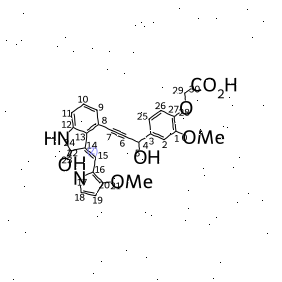 COc1cc(C(O)C#Cc2cccc3c2/C(=C/c2[nH]ccc2OC)C(=O)N3)ccc1OCC(=O)O